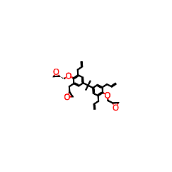 C=CCc1cc(C(C)(C)c2cc(CC=C)c(OC[C@@H]3CO3)c(CC3CO3)c2)cc(CC=C)c1OCC1CO1